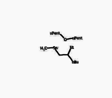 CCCCC(CC)[CH2][Sn][CH3].CCCCCOCCCCC